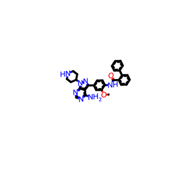 COc1cc(-c2nn(C3CCNCC3)c3ncnc(N)c23)ccc1NC(=O)c1ccccc1-c1ccccc1